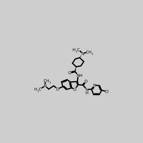 CN(C)CCOc1ccc2c(NC(=O)[C@H]3CC[C@H](N(C)C)CC3)c(C(=O)Nc3ccc(Cl)cn3)oc2c1